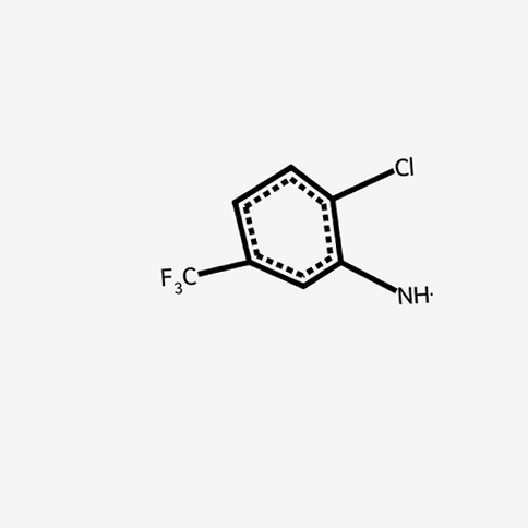 [NH]c1cc(C(F)(F)F)ccc1Cl